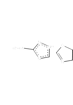 C1=NCCO1.CCCCCc1nc[nH]n1